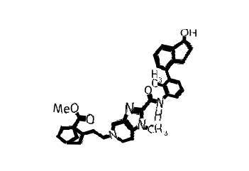 COC(=O)C12CCC(CC1CCN1CCc3c(nc(C(=O)Nc4cccc(-c5cccc6c5CCC6O)c4C)n3C)C1)C2